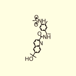 Cc1cc([C@@H](C)NC(=O)c2ccc3cc(C(C)(C)O)ccc3n2)ccc1NS(C)(=O)=O